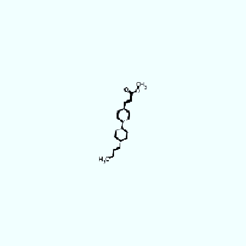 CCCC[C@H]1CC[C@H]([C@H]2CC[C@H](C=CC(=O)OC)CC2)CC1